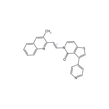 Cc1cc2ccccc2nc1/C=C/n1ccc2scc(-c3ccncc3)c2c1=O